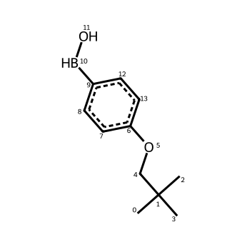 CC(C)(C)COc1ccc(BO)cc1